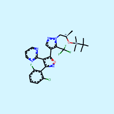 C[C@H](Cn1ncc(-c2onc(-c3c(F)cccc3Cl)c2-c2ncccn2)c1C(F)(F)F)O[Si](C)(C)C(C)(C)C